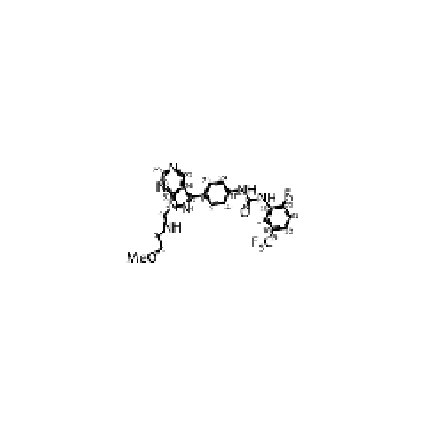 COCCNCn1nc(-c2ccc(NC(=O)Nc3cc(C(F)(F)F)ccc3F)cc2)c2cncnc21